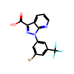 O=C(O)c1nn(-c2cc(Br)cc(C(F)(F)F)c2)c2ncccc12